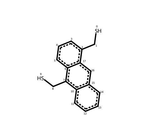 SCc1cccc2c(CS)c3ccccc3cc12